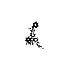 CC(C)(C)OC(=O)N1CCCC[C@@H](Nc2c(OC3CCN(C(=O)OCc4ccccc4)CC3)cccc2[N+](=O)[O-])C1